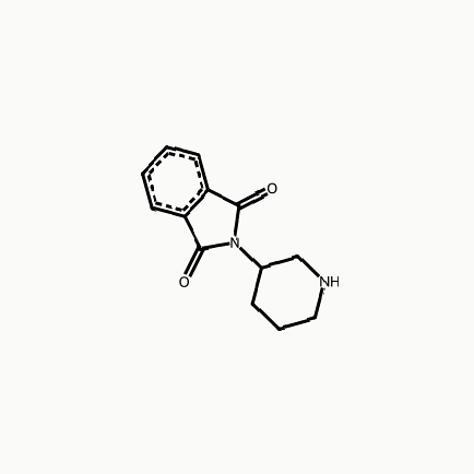 O=C1c2ccccc2C(=O)N1C1CCCNC1